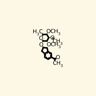 CO[C@@H]1[C@H](OC)[C@H](OC2Cc3ccc(C(C)=O)cc3C2)O[C@@H](C)[C@@H]1OC